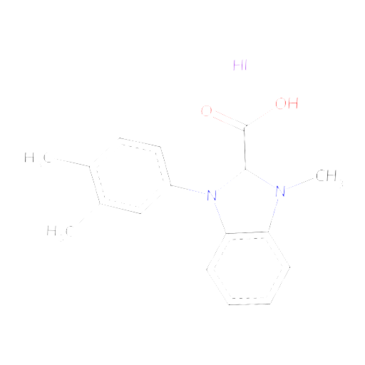 Cc1ccc(N2c3ccccc3N(C)C2C(=O)O)cc1C.I